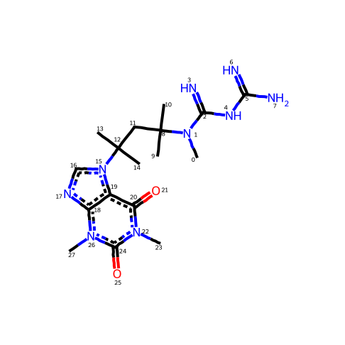 CN(C(=N)NC(=N)N)C(C)(C)CC(C)(C)n1cnc2c1c(=O)n(C)c(=O)n2C